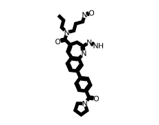 CCCN(CCCN=O)C(=O)C1=Cc2ccc(-c3ccc(C(=O)N4CCCC4)cc3)cc2N=C(N=N)C1